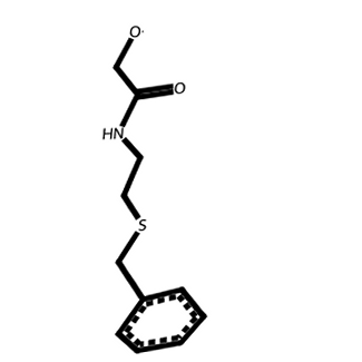 [O]CC(=O)NCCSCc1ccccc1